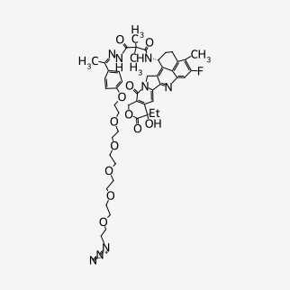 CC[C@]1(O)C(=O)OCc2c1cc1n(c2=O)Cc2c-1nc1cc(F)c(C)c3c1c2[C@H](NC(=O)C(C)(C)C(=O)N/N=C(/C)c1ccc(OCCOCCOCCOCCOCCOCCN=[N+]=[N-])cc1)CC3